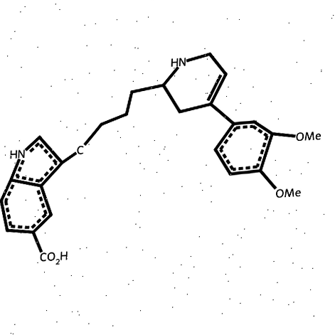 COc1ccc(C2=CCNC(CCCCc3c[nH]c4ccc(C(=O)O)cc34)C2)cc1OC